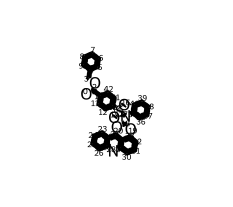 O=C(OCc1ccccc1)c1ccc(S(=O)(=O)N(C(=O)Oc2c3ccccc3nc3ccccc23)c2ccccc2)cc1